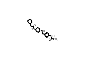 CC(=O)Nc1ccc(CN[C@H]2CC[C@H](NC(=O)CC3CCCCC3)CC2)cc1